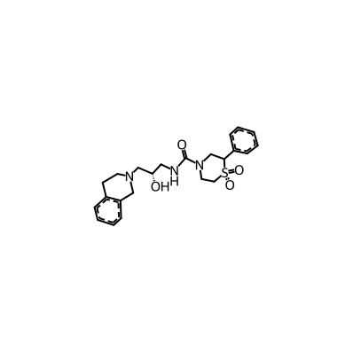 O=C(NC[C@H](O)CN1CCc2ccccc2C1)N1CCS(=O)(=O)C(c2ccccc2)C1